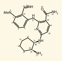 CNc1cccc(Nc2nc(N[C@@H]3CCCC[C@@H]3N)ccc2C(N)=O)c1C=N